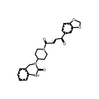 O=C(/C=C/C(=O)N1CCC(N2Cc3ccccc3NC2=O)CC1)c1ccc2c(c1)OCO2